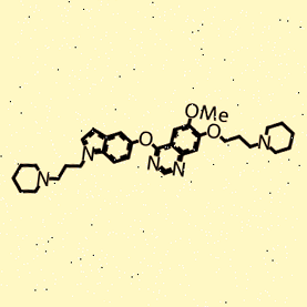 COc1cc2c(Oc3ccc4c(ccn4CCCN4CCCCC4)c3)ncnc2cc1OCCCN1CCCCC1